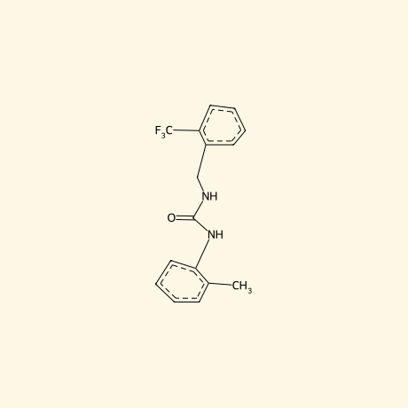 Cc1ccccc1NC(=O)NCc1ccccc1C(F)(F)F